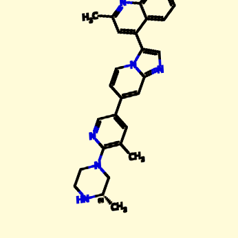 Cc1cc(-c2cnc3cc(-c4cnc(N5CCN[C@@H](C)C5)c(C)c4)ccn23)c2ccccc2n1